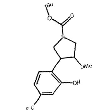 COC1CN(C(=O)OC(C)(C)C)CC1c1ccc(C(F)(F)F)cc1O